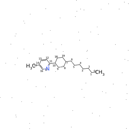 CCCCCCCC1CCC(c2ccc(C)cn2)CC1